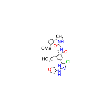 COc1cccc([C@@H](C)NC(=O)CN2Cc3c(CC(=O)O)cc(-c4nc(NC5CCOCC5)ncc4Cl)cc3C2=O)c1